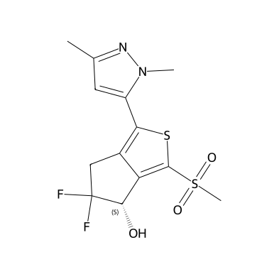 Cc1cc(-c2sc(S(C)(=O)=O)c3c2CC(F)(F)[C@H]3O)n(C)n1